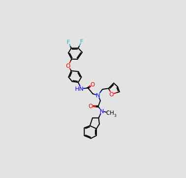 CN(C(=O)CN(CC(=O)Nc1ccc(Oc2ccc(F)c(F)c2)cc1)Cc1ccco1)C1Cc2ccccc2C1